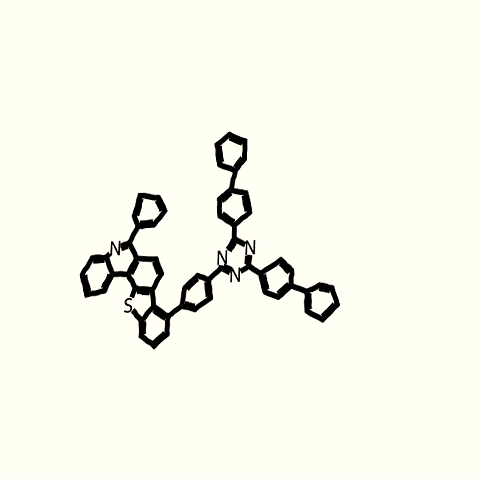 c1ccc(-c2ccc(-c3nc(-c4ccc(-c5ccccc5)cc4)nc(-c4ccc(-c5cccc6sc7c(ccc8c(-c9ccccc9)nc9ccccc9c87)c56)cc4)n3)cc2)cc1